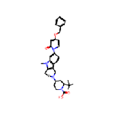 Cn1c2c(c3ccc(-n4ccc(OCc5ccccc5)cc4=O)cc31)CN(C1CCN(C(=O)O)C(C(C)(C)C)C1)CC2